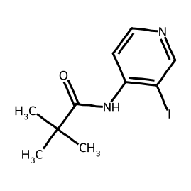 CC(C)(C)C(=O)Nc1ccncc1I